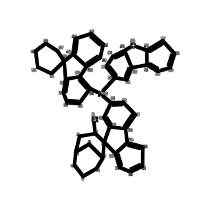 CCC1CC2CCCC(C2)C12c1ccccc1-c1ccc(N(c3ccc4oc5ccccc5c4c3)c3cccc4c3-c3ccccc3C43CCCCC3)cc12